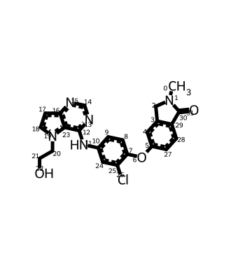 CN1Cc2cc(Oc3ccc(Nc4ncnc5ccn(CCO)c45)cc3Cl)ccc2C1=O